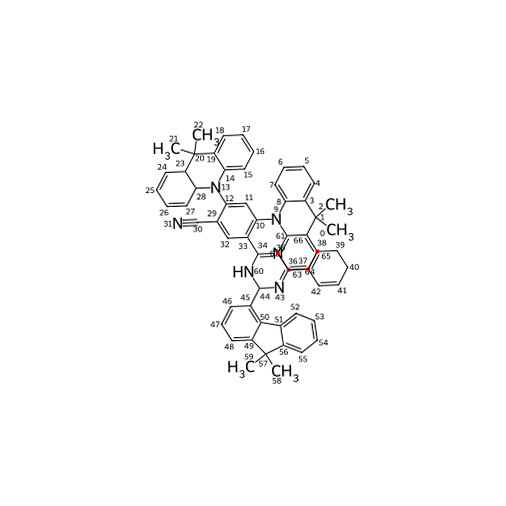 CC1(C)c2ccccc2N(c2cc(N3c4ccccc4C(C)(C)C4C=CC=CC43)c(C#N)cc2C2=NC(C3=CCCC=C3)=NC(c3cccc4c3-c3ccccc3C4(C)C)N2)c2ccccc21